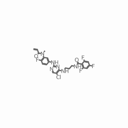 C=CC(=O)N(C)c1cc(Nc2ncc(Cl)c(NCCCNC(=O)c3c(F)cc(F)cc3F)n2)ccc1F